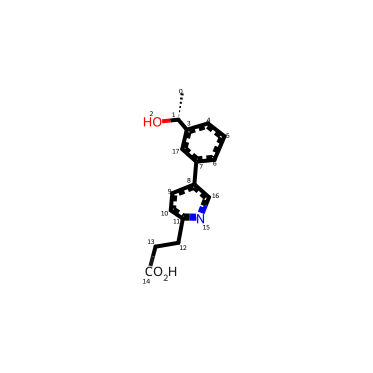 C[C@@H](O)c1cccc(-c2ccc(CCC(=O)O)nc2)c1